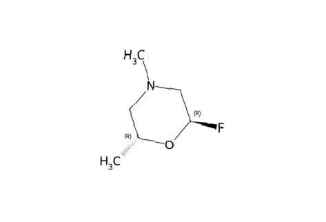 C[C@@H]1CN(C)C[C@@H](F)O1